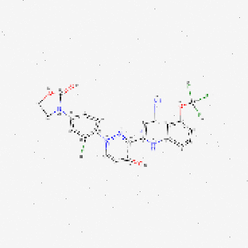 N=C/C=C(\Nc1cccc(OC(F)(F)F)c1)c1nn(-c2ccc(N3CCOC3=O)cc2F)ccc1=O